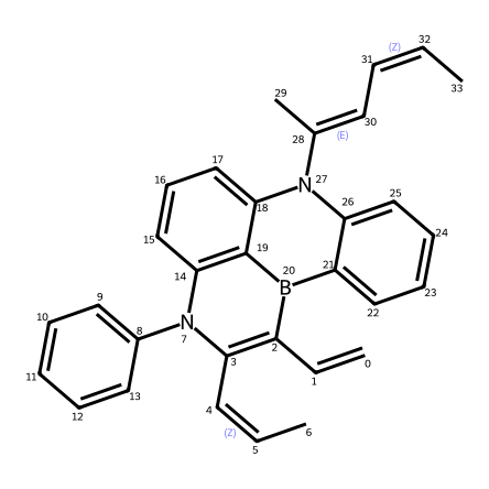 C=CC1=C(/C=C\C)N(c2ccccc2)c2cccc3c2B1c1ccccc1N3/C(C)=C/C=C\C